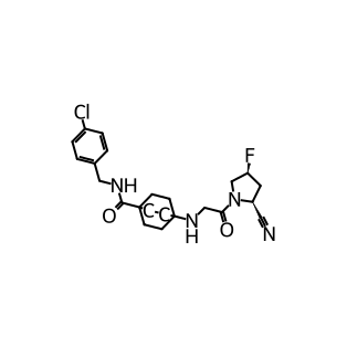 N#C[C@@H]1C[C@H](F)CN1C(=O)CNC12CCC(C(=O)NCc3ccc(Cl)cc3)(CC1)CC2